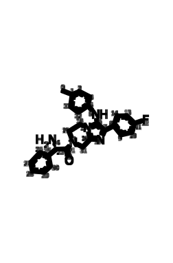 Cc1ccc(Nc2c(-c3ccc(F)cc3)nc3n2CCN(C(=O)[C@@H](N)c2ccccc2)C3)cc1